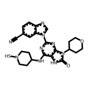 N#Cc1ccc2ncn(-c3nc(NC4CCN(S)CC4)c4[nH]c(=O)n(C5CCOCC5)c4n3)c2c1